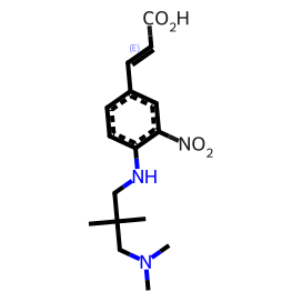 CN(C)CC(C)(C)CNc1ccc(/C=C/C(=O)O)cc1[N+](=O)[O-]